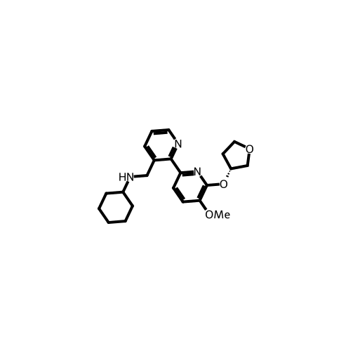 COc1ccc(-c2ncccc2CNC2CCCCC2)nc1O[C@@H]1CCOC1